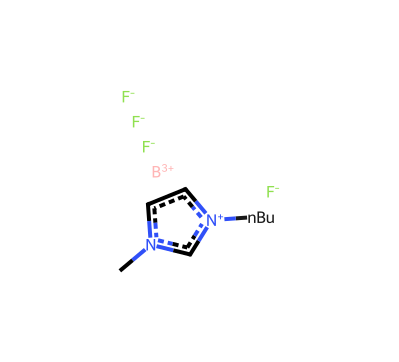 CCCC[n+]1ccn(C)c1.[B+3].[F-].[F-].[F-].[F-]